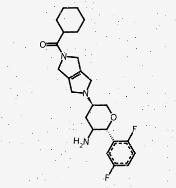 NC1C[C@@H](N2CC3=C(CN(C(=O)C4CCCCC4)C3)C2)CO[C@@H]1c1cc(F)ccc1F